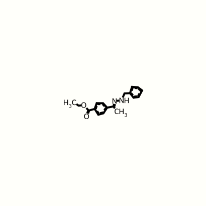 CCOC(=O)c1ccc(C(C)=NNCc2ccccc2)cc1